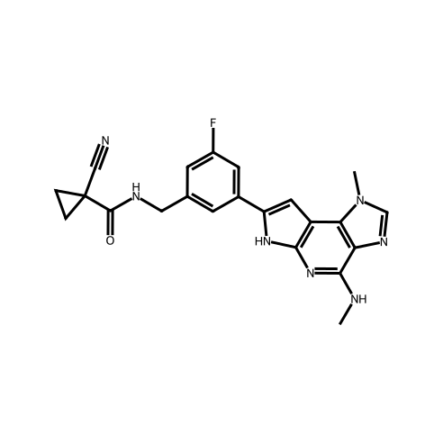 CNc1nc2[nH]c(-c3cc(F)cc(CNC(=O)C4(C#N)CC4)c3)cc2c2c1ncn2C